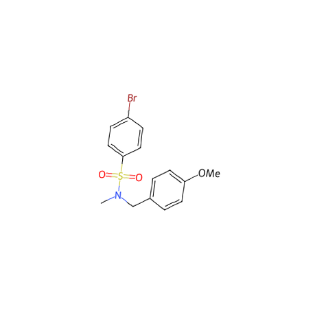 COc1ccc(CN(C)S(=O)(=O)c2ccc(Br)cc2)cc1